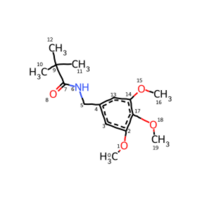 COc1cc(CNC(=O)C(C)(C)C)cc(OC)c1OC